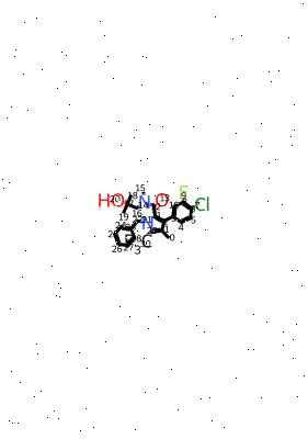 Cc1c(-c2ccc(Cl)c(F)c2)c(C(=O)N(C)CC(C)(C)O)n(Cc2ccccc2)c1C(F)(F)F